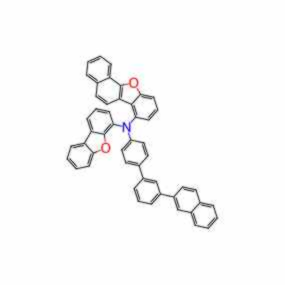 c1cc(-c2ccc(N(c3cccc4c3oc3ccccc34)c3cccc4oc5c6ccccc6ccc5c34)cc2)cc(-c2ccc3ccccc3c2)c1